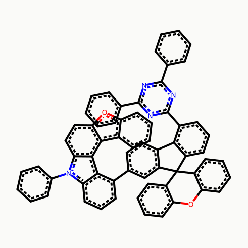 c1ccc(-c2nc(-c3ccccc3)nc(-c3cccc4c3-c3ccc(-c5cccc6c5c5c7c(ccc5n6-c5ccccc5)oc5ccccc57)cc3C43c4ccccc4Oc4ccccc43)n2)cc1